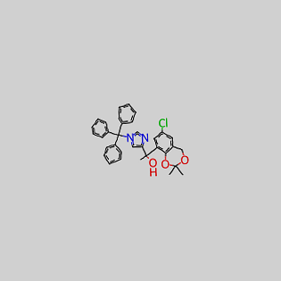 CC1(C)OCc2cc(Cl)cc(C(C)(O)c3cn(C(c4ccccc4)(c4ccccc4)c4ccccc4)cn3)c2O1